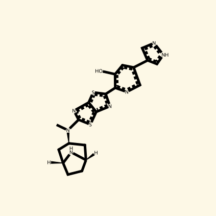 CN(c1nc2sc(-c3ncc(-c4cn[nH]c4)cc3O)nc2s1)[C@@H]1C[C@H]2CC[C@@H](C1)N2